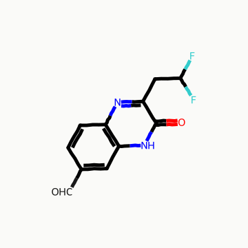 O=Cc1ccc2nc(CC(F)F)c(=O)[nH]c2c1